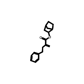 C=C(CCc1ccccc1)C(=O)OC1CC2CCC1C2